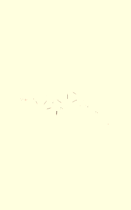 CCCc1c(/C=N/OC)c(C)c2c(=O)[nH]c(-c3cc(S(=O)(=O)N4CCN(CCO)CC4)ccc3OCC)nn12